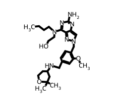 CCCCN(CCO)c1nc(N)nc2cn(Cc3ccc(CNC4CCOC(C)(C)C4)cc3OC)nc12